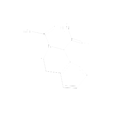 CCCC(=O)N1CCc2ccc[c]c2C1C(N)=O